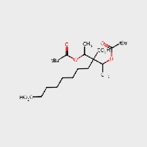 CC(OC(=O)C(C)(C)C)C(CCCCCCCC(=O)O)(C(=O)O)C(C)OC(=O)C(C)(C)C